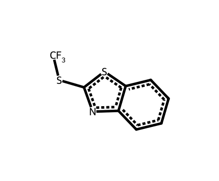 FC(F)(F)Sc1nc2ccccc2s1